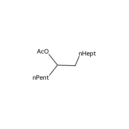 CCCCCCCCC(CCCCC)OC(C)=O